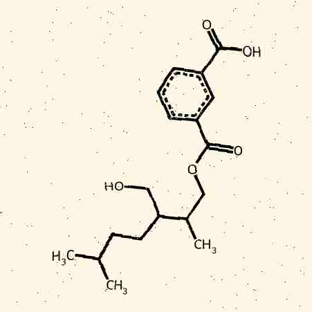 CC(C)CCC(CO)C(C)COC(=O)c1cccc(C(=O)O)c1